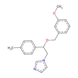 COc1cccc(COC(Cn2ccnc2)c2ccc(C)cc2)c1